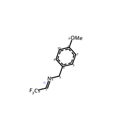 COc1ccc(C/N=C/C(F)(F)F)cc1